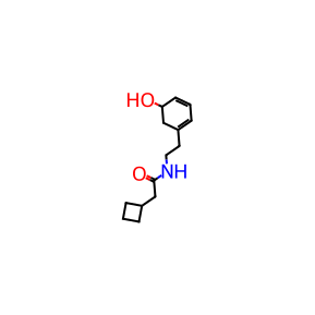 O=C(CC1CCC1)NCCC1=CC=CC(O)C1